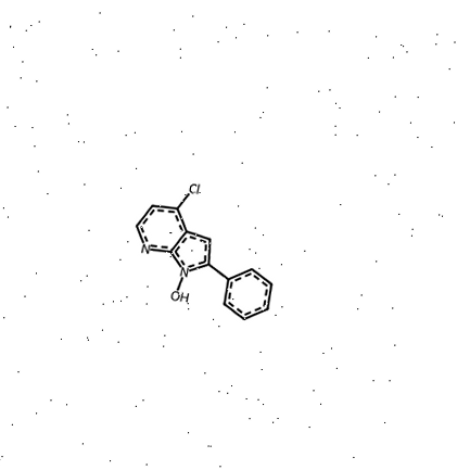 On1c(-c2ccccc2)cc2c(Cl)ccnc21